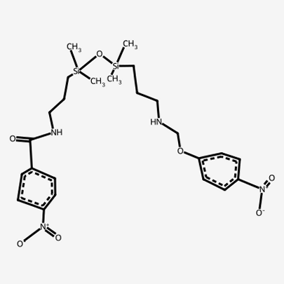 C[Si](C)(CCCNCOc1ccc([N+](=O)[O-])cc1)O[Si](C)(C)CCCNC(=O)c1ccc([N+](=O)[O-])cc1